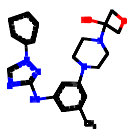 Cc1cc(Nc2ncn(-c3ccccc3)n2)cc(N2CCN(C3(O)COC3)CC2)c1